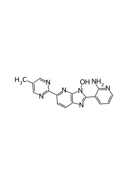 Cc1cnc(-c2ccc3nc(-c4cccnc4N)n(O)c3n2)nc1